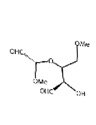 COCC(O[C@@H](C=O)OC)[C@@H](O)C=O